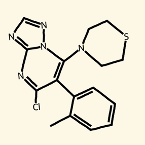 Cc1ccccc1-c1c(Cl)nc2ncnn2c1N1CCSCC1